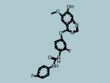 COc1cc2c(Oc3ccc(NC(=O)Nc4ccc(F)cc4)c(F)c3)ncnc2cc1O